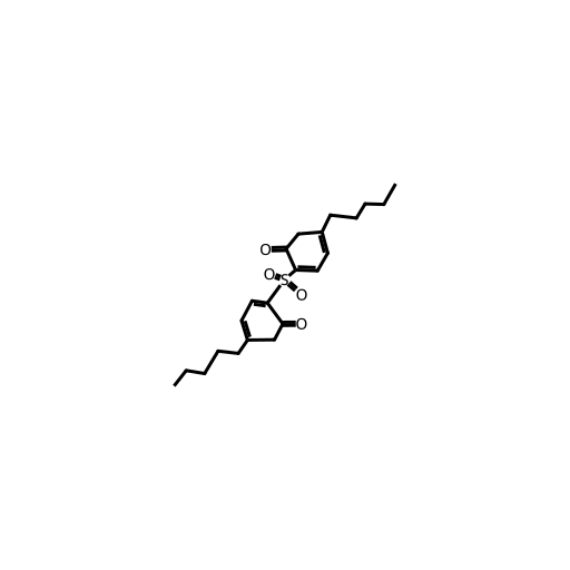 CCCCCC1=CC=C(S(=O)(=O)C2=CC=C(CCCCC)CC2=O)C(=O)C1